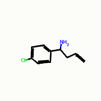 C=CCC(N)c1ccc(Cl)cc1